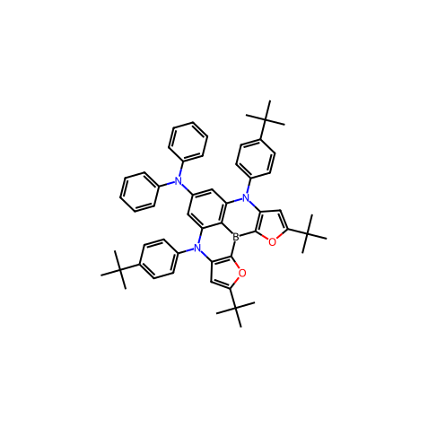 CC(C)(C)c1ccc(N2c3cc(C(C)(C)C)oc3B3c4oc(C(C)(C)C)cc4N(c4ccc(C(C)(C)C)cc4)c4cc(N(c5ccccc5)c5ccccc5)cc2c43)cc1